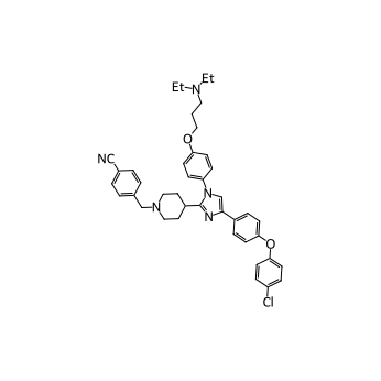 CCN(CC)CCCOc1ccc(-n2cc(-c3ccc(Oc4ccc(Cl)cc4)cc3)nc2C2CCN(Cc3ccc(C#N)cc3)CC2)cc1